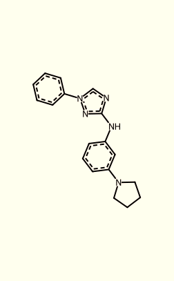 c1ccc(-n2cnc(Nc3cccc(N4CCCC4)c3)n2)cc1